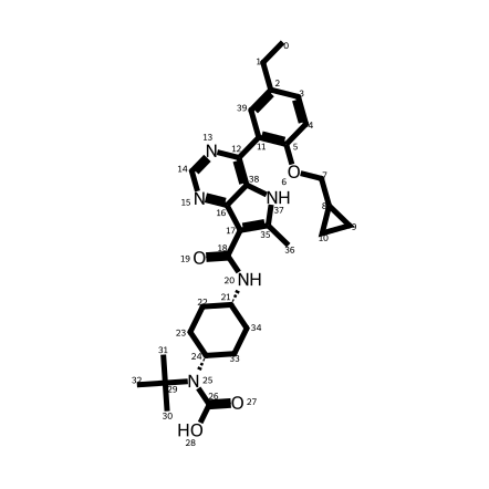 CCc1ccc(OCC2CC2)c(-c2ncnc3c(C(=O)N[C@H]4CC[C@@H](N(C(=O)O)C(C)(C)C)CC4)c(C)[nH]c23)c1